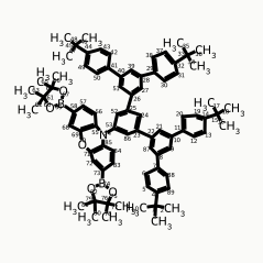 CC(C)(C)c1ccc(-c2cc(-c3ccc(C(C)(C)C)cc3)cc(-c3cc(-c4cc(-c5ccc(C(C)(C)C)cc5)cc(-c5ccc(C(C)(C)C)cc5)c4)cc(N4c5ccc(B6OC(C)(C)C(C)(C)O6)cc5Oc5cc(B6OC(C)(C)C(C)(C)O6)ccc54)c3)c2)cc1